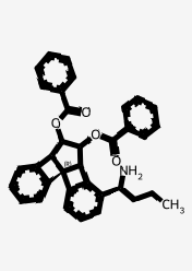 CCCC(N)c1cccc2c1C1C(OC(=O)c3ccccc3)C(OC(=O)c3ccccc3)C3c4ccccc4[C@@]231